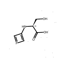 O=C(O)[C@H](CO)NC1=CP=C1